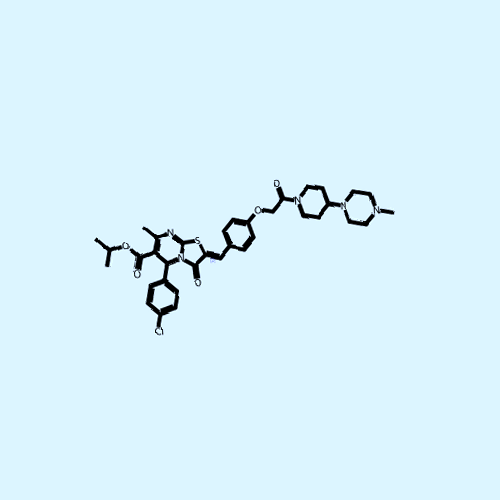 CC1=C(C(=O)OC(C)C)C(c2ccc(Cl)cc2)n2c(s/c(=C\c3ccc(OCC(=O)N4CCC(N5CCN(C)CC5)CC4)cc3)c2=O)=N1